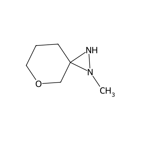 CN1NC12CCCOC2